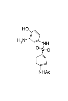 CC(=O)Nc1ccc(S(=O)(=O)Nc2ccc(O)c(N)c2)cc1